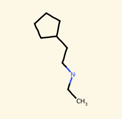 CC[N]CCC1CCCC1